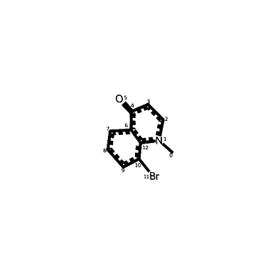 Cn1ccc(=O)c2cccc(Br)c21